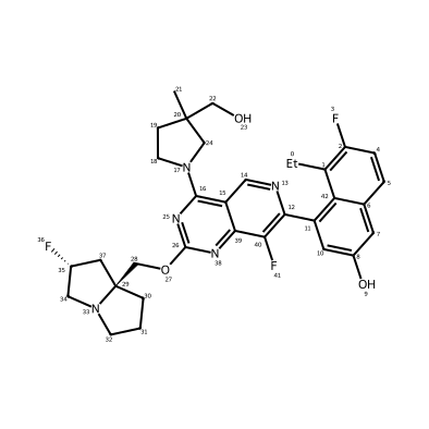 CCc1c(F)ccc2cc(O)cc(-c3ncc4c(N5CCC(C)(CO)C5)nc(OC[C@@]56CCCN5C[C@H](F)C6)nc4c3F)c12